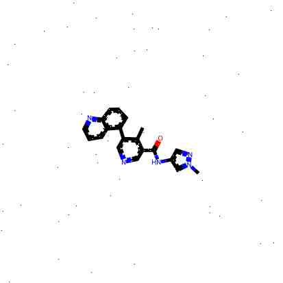 Cc1c(C(=O)Nc2cnn(C)c2)cncc1-c1cccc2ncccc12